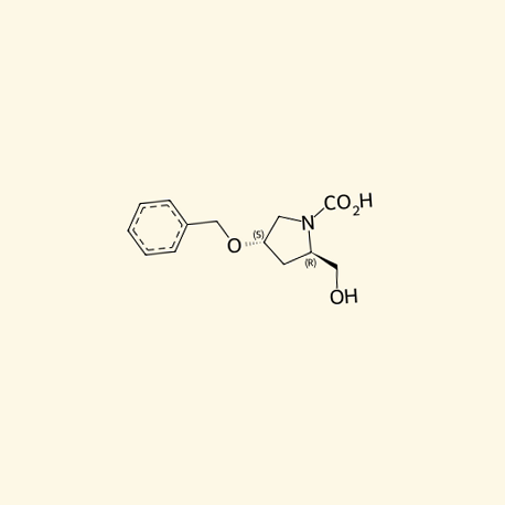 O=C(O)N1C[C@@H](OCc2ccccc2)C[C@@H]1CO